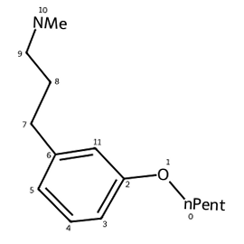 CCCCCOc1cccc(CCCNC)c1